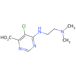 CN(C)CCNc1ncnc(C(=O)O)c1Cl